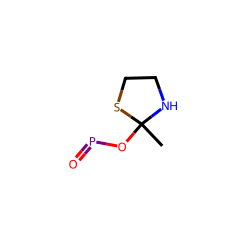 CC1(OP=O)NCCS1